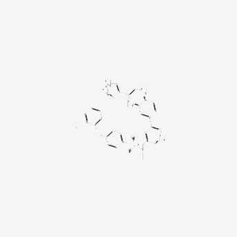 COc1ccccc1Oc1ccc(S(=O)(=O)Nc2cncc(-c3ccc4ncc(-c5cnn(C)c5)nc4c3)c2)cc1